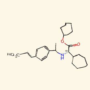 CC(N[C@H](C(=O)OC1CCCC1)C1CCCCC1)c1ccc(C=CC(=O)O)cc1